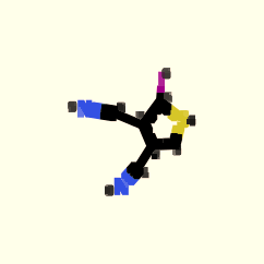 N#Cc1csc(I)c1C#N